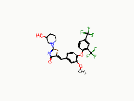 COc1cc(/C=C2\SC(N3CCCC(O)C3)=NC2=O)ccc1Oc1ccc(C(F)(F)F)cc1C(F)(F)F